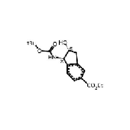 CCOC(=O)c1ccc2c(c1)C[C@@H](O)[C@@H]2NC(=O)OC(C)(C)C